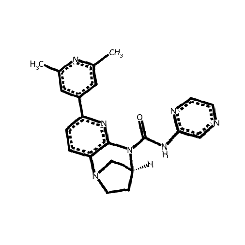 Cc1cc(-c2ccc3c(n2)N(C(=O)Nc2cnccn2)[C@H]2CCN3C2)cc(C)n1